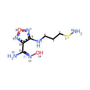 NSCCCNc1nonc1/C(N)=N\O